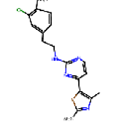 CNc1nc(C)c(-c2ccnc(NCCc3ccc(C(=O)O)c(Cl)c3)n2)s1